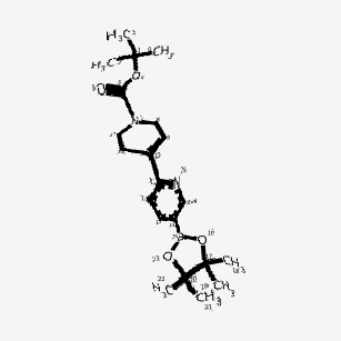 CC(C)(C)OC(=O)N1CC=C(c2ccc(B3OC(C)(C)C(C)(C)O3)cn2)CC1